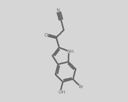 N#CCC(=O)c1cc2cc(O)c(Br)cc2[nH]1